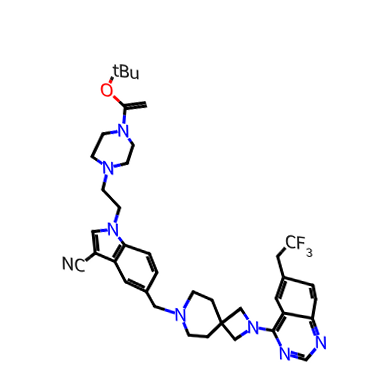 C=C(OC(C)(C)C)N1CCN(CCn2cc(C#N)c3cc(CN4CCC5(CC4)CN(c4ncnc6ccc(CC(F)(F)F)cc46)C5)ccc32)CC1